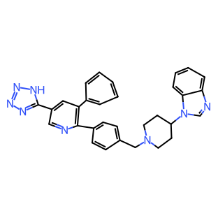 c1ccc(-c2cc(-c3nnn[nH]3)cnc2-c2ccc(CN3CCC(n4cnc5ccccc54)CC3)cc2)cc1